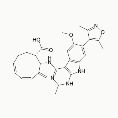 C=C1/C=C\C=C/CC[C@H](C(=O)O)[C@@H]1NC1=NC(C)Nc2[nH]c3cc(-c4c(C)noc4C)c(OC)cc3c21